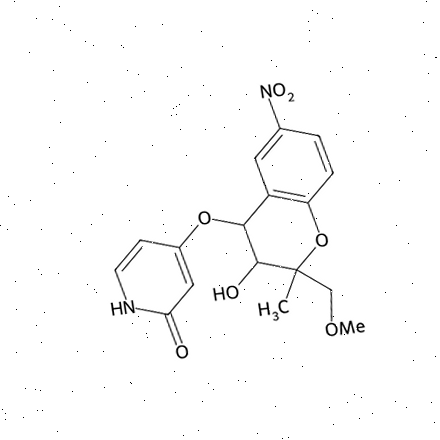 COCC1(C)Oc2ccc([N+](=O)[O-])cc2C(Oc2cc[nH]c(=O)c2)C1O